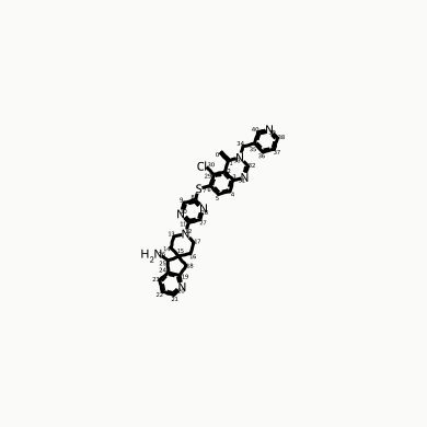 C=C1c2c(ccc(Sc3cnc(N4CCC5(CC4)Cc4ncccc4C5N)cn3)c2Cl)N=CN1Cc1cccnc1